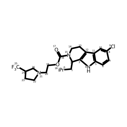 CC(C)CC1c2[nH]c3ccc(Cl)cc3c2CCN1C(=O)OCCN1CCC(C(F)(F)F)C1